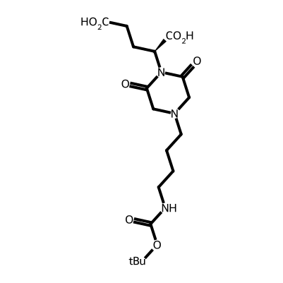 CC(C)(C)OC(=O)NCCCCN1CC(=O)N([C@@H](CCC(=O)O)C(=O)O)C(=O)C1